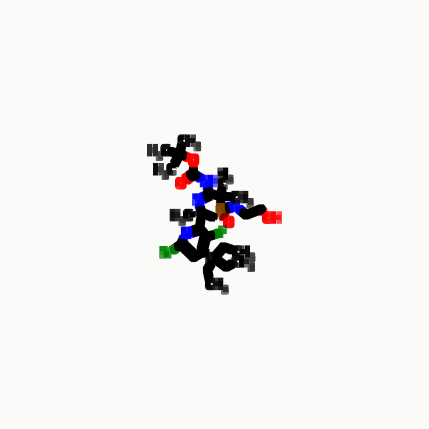 CC[Si](CC)(CC)c1cc(Br)nc([C@]2(C)C[S@@](=O)(=NCCO)C(C)(C)C(NC(=O)OC(C)(C)C)=N2)c1F